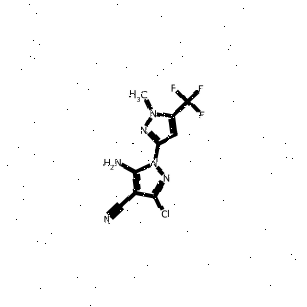 Cn1nc(-n2nc(Cl)c(C#N)c2N)cc1C(F)(F)F